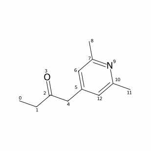 CCC(=O)Cc1cc(C)nc(C)c1